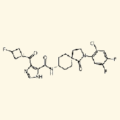 O=C(N[C@H]1CC[C@@]2(CCN(c3cc(F)c(F)cc3Cl)C2=O)CC1)c1[nH]cnc1C(=O)N1CC(F)C1